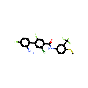 CSc1ccc(NC(=O)c2cc(F)c(-c3ccc(F)cc3N)cc2Cl)cc1C(F)(F)F